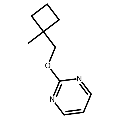 CC1(COc2ncccn2)CCC1